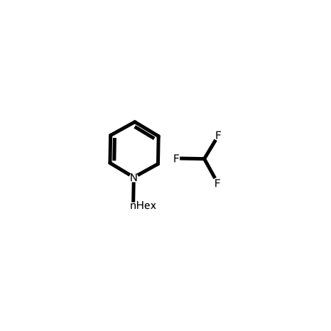 CCCCCCN1C=CC=CC1.FC(F)F